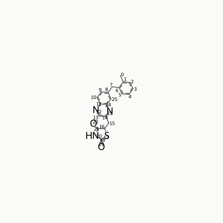 Cc1ccccc1Cc1ccc2ncc(CC3SC(=O)NC3=O)nc2c1